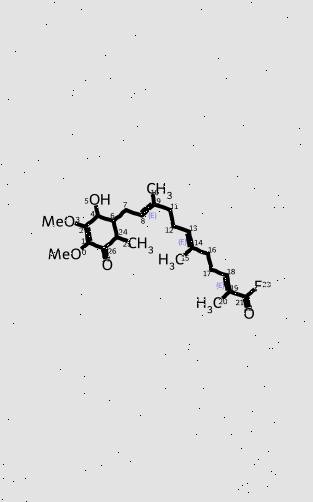 COC1=C(OC)C(O)C(C/C=C(\C)CC/C=C(\C)CC/C=C(\C)C(=O)F)C(C)C1=O